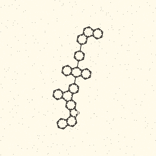 c1ccc2c(c1)ccc1ccc(-c3ccc(-c4c5ccccc5c(-c5ccc6c(c5)c5ccccc5c5cc7c(cc65)oc5ccc6ccccc6c57)c5ccccc45)cc3)cc12